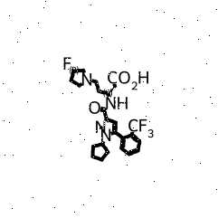 O=C(O)C[C@H](CCN1CC[C@@H](F)C1)NC(=O)c1cc(-c2ccccc2C(F)(F)F)n(C2CCCC2)n1